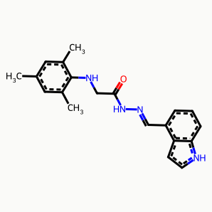 Cc1cc(C)c(NCC(=O)N/N=C/c2cccc3[nH]ccc23)c(C)c1